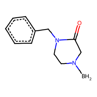 BN1CCN(Cc2ccccc2)C(=O)C1